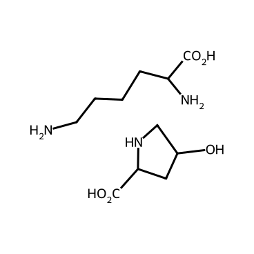 NCCCCC(N)C(=O)O.O=C(O)C1CC(O)CN1